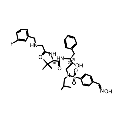 CC(C)CN(C[C@H](O)[C@H](Cc1ccccc1)NC(=O)[C@H](NC(=O)CNCc1cccc(F)c1)C(C)(C)C)S(=O)(=O)c1ccc(C=NO)cc1